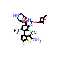 CC12CC(COc3nc(N4C5CNCC4COC5)c4cc(C(F)(F)F)c(-c5ccc(F)c6sc(N)c(C#N)c56)c(F)c4n3)(CO1)C2